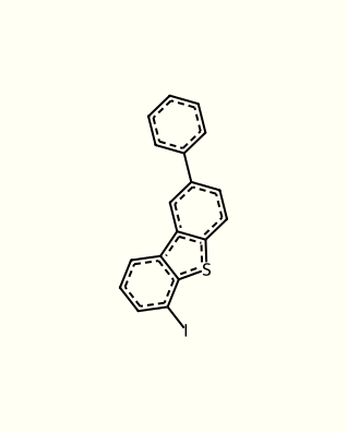 Ic1cccc2c1sc1ccc(-c3ccccc3)cc12